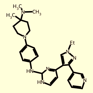 CCn1cc(C2=NC(Nc3ccc(N4CCC(C)(N(C)C)CC4)cc3)NC=C2)c(-c2cccnc2)n1